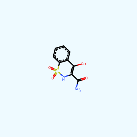 NC(=O)C1=C(O)c2ccccc2S(=O)(=O)N1